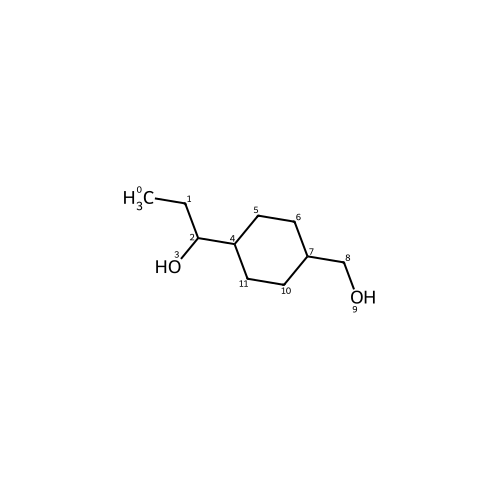 CCC(O)C1CCC(CO)CC1